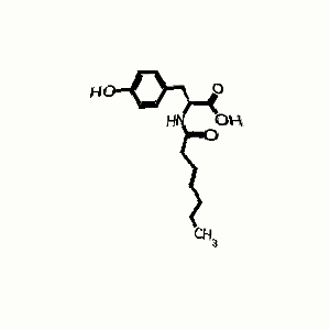 CCCCCCC(=O)N[C@@H](Cc1ccc(O)cc1)C(=O)O